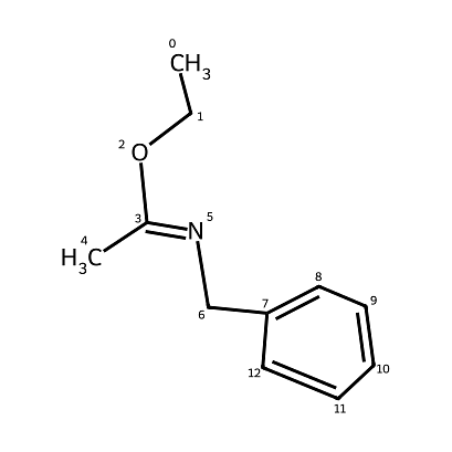 CCO/C(C)=N/Cc1ccccc1